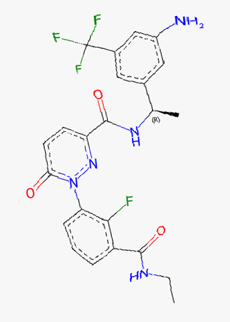 CCNC(=O)c1cccc(-n2nc(C(=O)N[C@H](C)c3cc(N)cc(C(F)(F)F)c3)ccc2=O)c1F